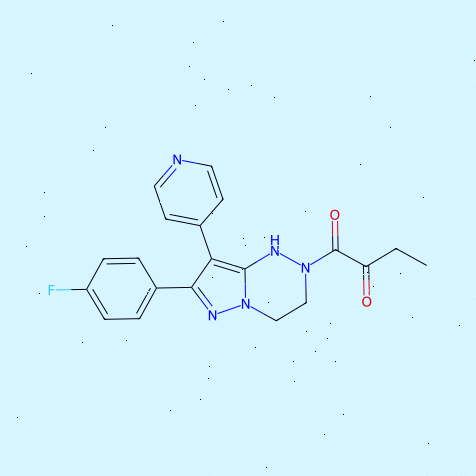 CCC(=O)C(=O)N1CCn2nc(-c3ccc(F)cc3)c(-c3ccncc3)c2N1